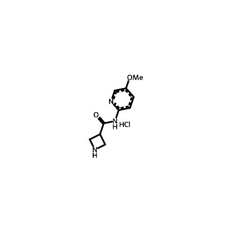 COc1ccc(NC(=O)C2CNC2)nc1.Cl